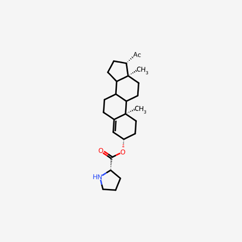 CC(=O)[C@H]1CCC2C3CCC4=C[C@@H](OC(=O)[C@@H]5CCCN5)CC[C@]4(C)C3CC[C@@]21C